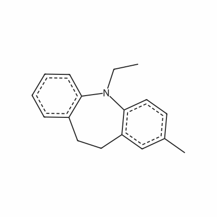 CCN1c2ccccc2CCc2cc(C)ccc21